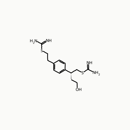 N=C(N)SCCc1ccc([C@@H](CCO)CSC(=N)N)cc1